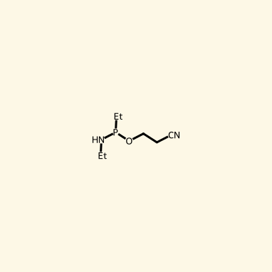 CCNP(CC)OCCC#N